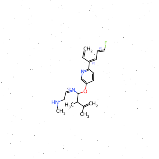 C=C/C(=C\C=C\F)c1ccc(OC(/N=C\CNC)C(C)C(=C)C)cn1